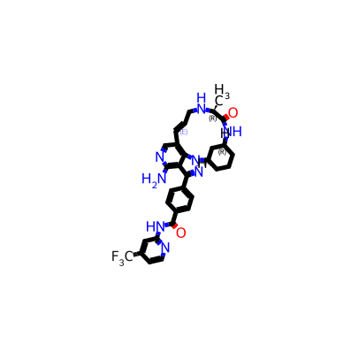 C[C@H]1NC/C=C/c2cnc(N)c3c(-c4ccc(C(=O)Nc5cc(C(F)(F)F)ccn5)cc4)nn(c23)[C@@H]2CCC[C@H](C2)NC1=O